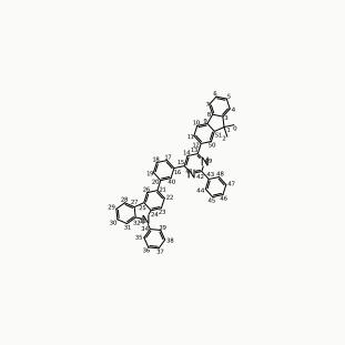 CC1(C)c2ccccc2-c2ccc(-c3cc(-c4cccc(-c5ccc6c(c5)c5ccccc5n6-c5ccccc5)c4)nc(-c4ccccc4)n3)cc21